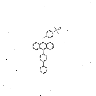 CP(C)(=O)c1ccc(Cc2c3ccccc3c(-c3ccc(-c4ccccc4)cc3)c3ccccc23)cc1